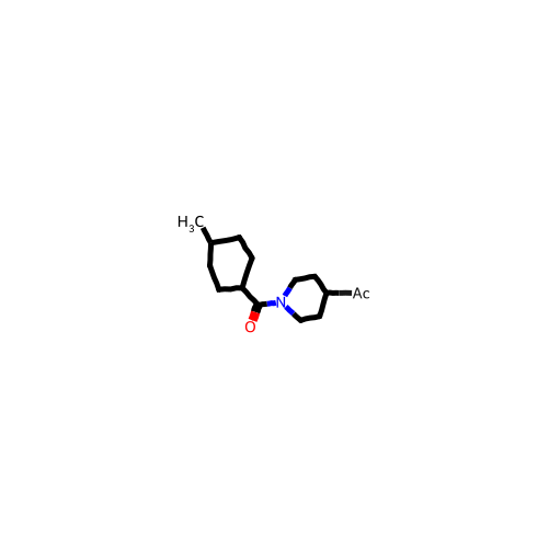 CC(=O)C1CCN(C(=O)C2CCC(C)CC2)CC1